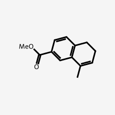 COC(=O)c1ccc2c(c1)C(C)=CCC2